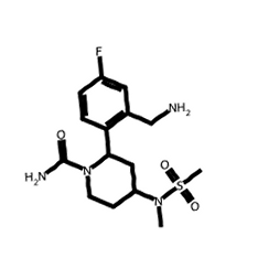 CN(C1CCN(C(N)=O)C(c2ccc(F)cc2CN)C1)S(C)(=O)=O